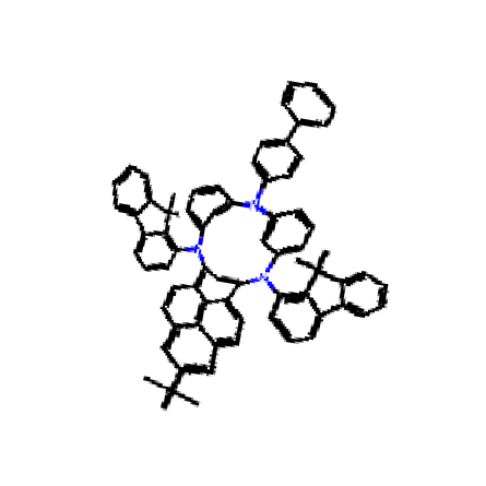 CC(C)(C)c1cc2ccc3c4cc(c5ccc(c1)c2c35)N(c1cccc2c1C(C)(C)c1ccccc1-2)c1cccc(c1)N(c1ccc(-c2ccccc2)cc1)c1cccc(c1)N4c1cccc2c1C(C)(C)c1ccccc1-2